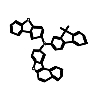 CC1(C)c2ccccc2-c2ccc(N(c3ccc4oc5ccccc5c4c3)c3ccc4oc5ccc6ccccc6c5c4c3)cc21